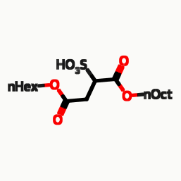 CCCCCCCCOC(=O)C(CC(=O)OCCCCCC)S(=O)(=O)O